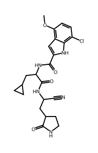 COc1ccc(Cl)c2[nH]c(C(=O)NC(CC3CC3)C(=O)NC(C#N)CC3CCNC3=O)cc12